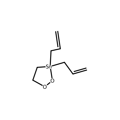 C=C[CH2][Sn]1([CH2]C=C)[CH2]CO[O]1